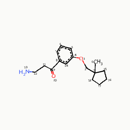 CC1(COc2cccc(C(=O)CCN)c2)CCCC1